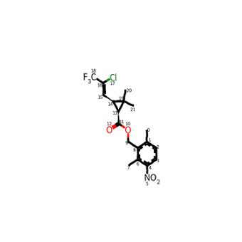 Cc1ccc([N+](=O)[O-])c(C)c1COC(=O)[C@H]1[C@@H](C=C(Cl)C(F)(F)F)C1(C)C